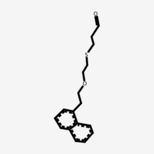 O=CCCSCCOCCc1cccc2ccccc12